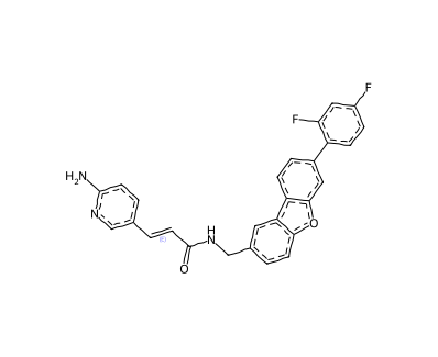 Nc1ccc(/C=C/C(=O)NCc2ccc3oc4cc(-c5ccc(F)cc5F)ccc4c3c2)cn1